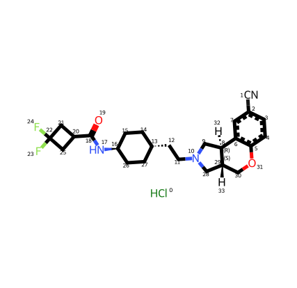 Cl.N#Cc1ccc2c(c1)[C@@H]1CN(CC[C@H]3CC[C@H](NC(=O)C4CC(F)(F)C4)CC3)C[C@H]1CO2